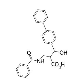 O=C(NCC(C(=O)O)C(O)c1ccc(-c2ccccc2)cc1)c1ccccc1